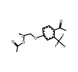 CC(=O)O[C@@H](C)COc1ccc(C(C)=O)c(C(F)(F)F)c1